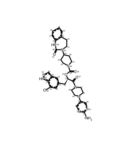 Nc1ncc(N2CCN(C(=O)[C@@H](Cc3cc(Cl)c4[nH]ncc4c3)OC(=O)N3CCC(N4CCc5ccccc5NC4=O)CC3)CC2)cn1